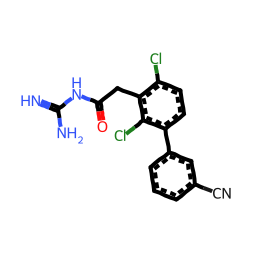 N#Cc1cccc(-c2ccc(Cl)c(CC(=O)NC(=N)N)c2Cl)c1